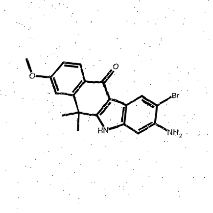 COc1ccc2c(c1)C(C)(C)c1[nH]c3cc(N)c(Br)cc3c1C2=O